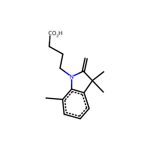 C=C1N(CCCC(=O)O)c2c(C)cccc2C1(C)C